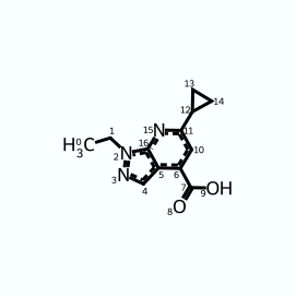 CCn1ncc2c(C(=O)O)cc(C3CC3)nc21